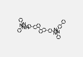 c1ccc(C2=NC(c3ccccc3)NC(c3ccc(-c4ccc5c(-c6cccc7cc(-c8ccc(-c9nc(-c%10ccccc%10)nc(-c%10ccc(-c%11ccccc%11)cc%10)n9)cc8)ccc67)cccc5c4)cc3)=N2)cc1